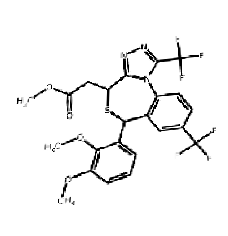 COC(=O)CC1SC(c2cccc(OC)c2OC)c2cc(C(F)(F)F)ccc2-n2c1nnc2C(F)(F)F